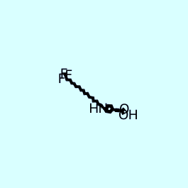 O=C(O)C#Cc1ccc(NCCCCCCCCCCCCCCCCC(F)(F)F)cc1